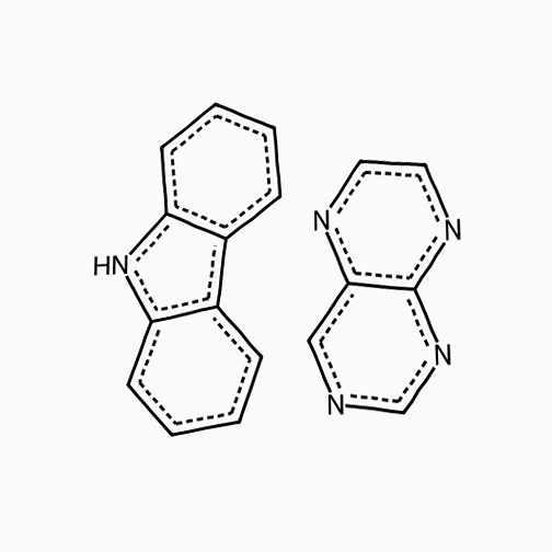 c1ccc2c(c1)[nH]c1ccccc12.c1cnc2ncncc2n1